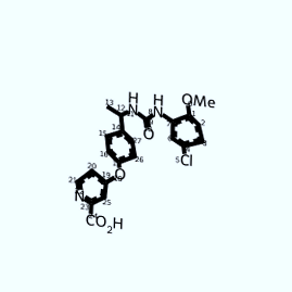 COc1ccc(Cl)cc1NC(=O)NC(C)c1ccc(Oc2ccnc(C(=O)O)c2)cc1